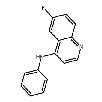 Fc1ccc2nccc(Nc3c[c]ccc3)c2c1